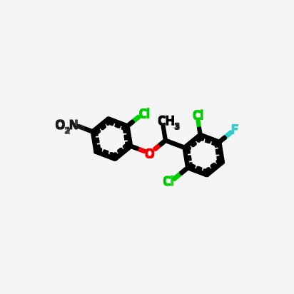 CC(Oc1ccc([N+](=O)[O-])cc1Cl)c1c(Cl)ccc(F)c1Cl